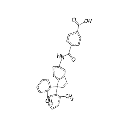 Cc1ccccc1C1(c2ccccc2C)C=Cc2cc(NC(=O)c3ccc(C(=O)O)cc3)ccc21